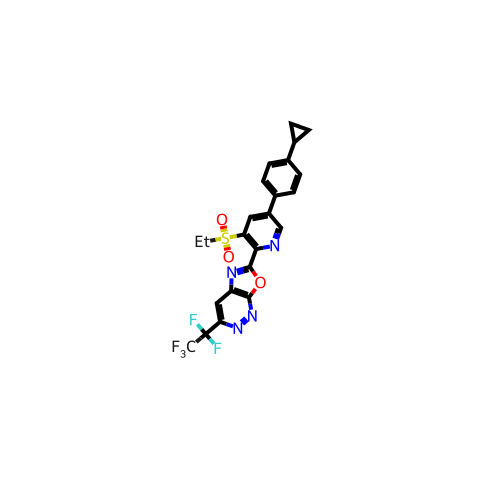 CCS(=O)(=O)c1cc(-c2ccc(C3CC3)cc2)cnc1-c1nc2cc(C(F)(F)C(F)(F)F)nnc2o1